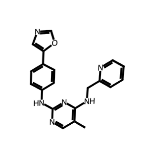 Cc1cnc(Nc2ccc(-c3cnco3)cc2)nc1NCc1ccccn1